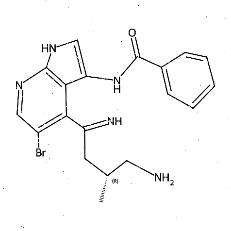 C[C@@H](CN)CC(=N)c1c(Br)cnc2[nH]cc(NC(=O)c3ccccc3)c12